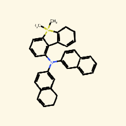 CS1(C)C2=C(C=CCC2)c2c(N(c3ccc4c(c3)CCC=C4)c3ccc4ccccc4c3)cccc21